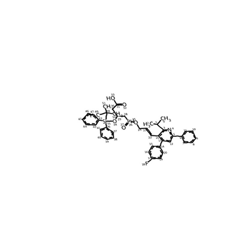 CC(C)c1nc(-c2ccccc2)cc(-c2ccc(F)cc2)c1/C=C/CO[PH](=O)C[C@H](CC(=O)O)O[Si](c1ccccc1)(c1ccccc1)C(C)(C)C